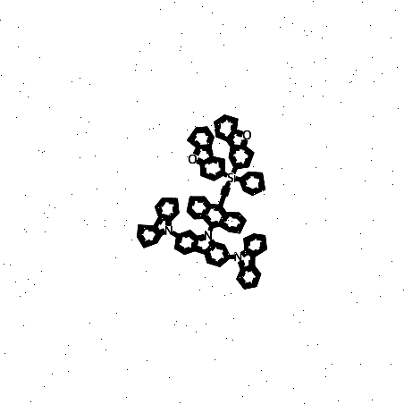 C(#C[Si](c1ccccc1)(c1ccc2oc3ccccc3c2c1)c1ccc2oc3ccccc3c2c1)c1c2ccccc2c(-n2c3cc(-n4c5ccccc5c5ccccc54)ccc3c3ccc(-n4c5ccccc5c5ccccc54)cc32)c2ccccc12